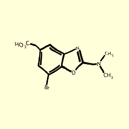 CN(C)c1nc2cc(C(=O)O)cc(Br)c2o1